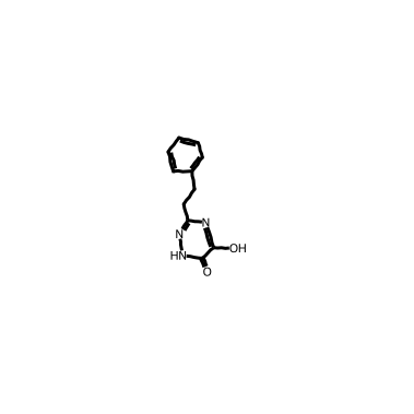 O=c1[nH]nc(CCc2ccccc2)nc1O